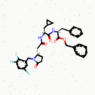 O=C(C[C@@H]1CCC(=O)N1Cc1cc(F)cc(F)c1F)N[C@@H](CC1CC1)C(=O)N[C@@H](Cc1ccccc1)C(=O)OCc1ccccc1